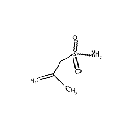 C=C(C)CS(N)(=O)=O